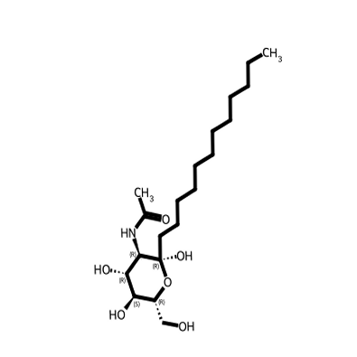 CCCCCCCCCCCC[C@@]1(O)O[C@H](CO)[C@@H](O)[C@H](O)[C@H]1NC(C)=O